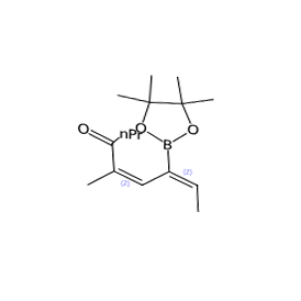 C/C=C(\C=C(\C)C(=O)CCC)B1OC(C)(C)C(C)(C)O1